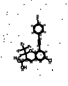 CCC1(C(F)(F)F)Oc2c(C#Cc3ccc(F)cc3)cc(Cl)cc2C=C1C(=O)O